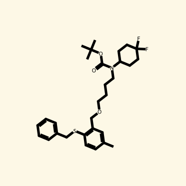 Cc1ccc(SCc2ccccc2)c(COCCCCN(C(=O)OC(C)(C)C)C2CCC(F)(F)CC2)c1